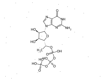 CC(OP(=O)(O)OP(=O)(O)OP(=O)(O)O)[C@H]1O[C@@H](n2cnc3c(=O)[nH]c(N)nc32)[C@H](O)[C@@H]1O